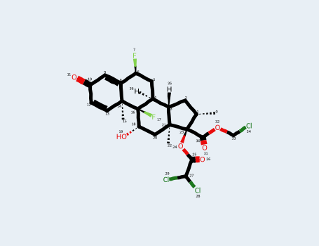 C[C@H]1C[C@H]2[C@@H]3C[C@H](F)C4=CC(=O)C=C[C@]4(C)[C@@]3(F)[C@@H](O)C[C@]2(C)[C@@]1(OC(=O)C(Cl)Cl)C(=O)OCCl